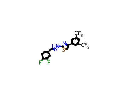 Fc1ccc(C=NNc2nc(-c3cc(C(F)(F)F)cc(C(F)(F)F)c3)cs2)cc1F